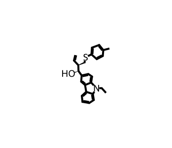 C=C[C@@H](CSc1ccc(C)cc1)[C@@H](O)c1ccc2c(c1)c1ccccc1n2CC